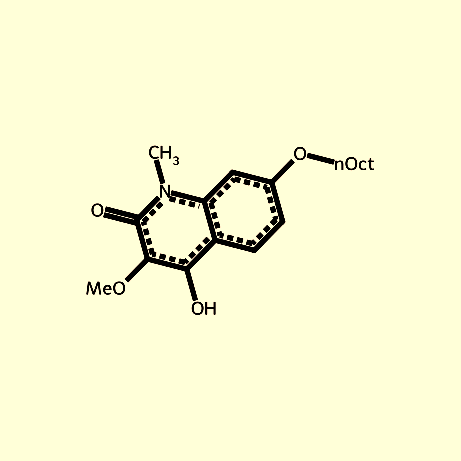 CCCCCCCCOc1ccc2c(O)c(OC)c(=O)n(C)c2c1